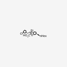 CCCCCCC#Cc1ccc(C(CC)N(CCc2cccc(Cl)c2)C(=O)C(=O)O)cc1